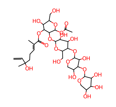 C=CC(C)(O)CC/C=C(\C)C(=O)OC1C(O)C(CO)OC(OC(C)=O)C1OC1OC(CO)C(OC2OCC(O)C(OC3OCC(O)C(O)C3O)C2O)C(O)C1O